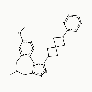 COc1ccc2c(c1)CN(C)Cc1nnc(C3CC4(C3)CN(c3cnccn3)C4)n1-2